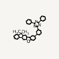 CC1(C)c2ccccc2-c2cc3oc4ccc(-c5cccc(-c6nc(-c7ccccc7)nc(-c7ccccc7)n6)c5)cc4c3cc21